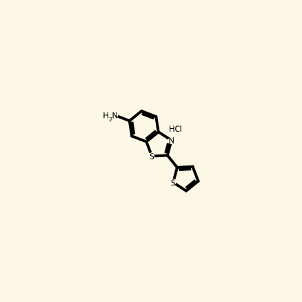 Cl.Nc1ccc2nc(-c3cccs3)sc2c1